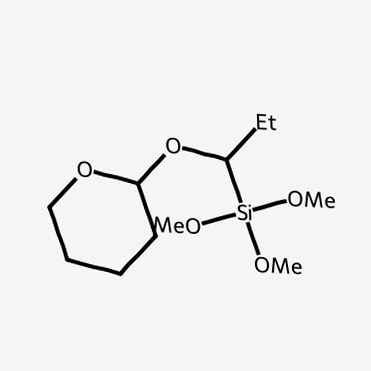 CCC(OC1CCCCO1)[Si](OC)(OC)OC